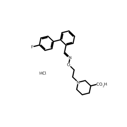 Cl.O=C(O)C1CCCN(CCON=Cc2ccccc2-c2ccc(F)cc2)C1